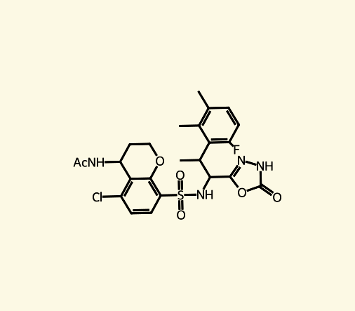 CC(=O)NC1CCOc2c(S(=O)(=O)NC(c3n[nH]c(=O)o3)C(C)c3c(F)ccc(C)c3C)ccc(Cl)c21